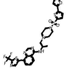 Cc1cc(-c2ccc(S(=O)(=O)N3CCN(CC(C)Nc4ncnc5c(-c6cnc(C(F)(F)F)s6)cccc45)CC3)s2)on1